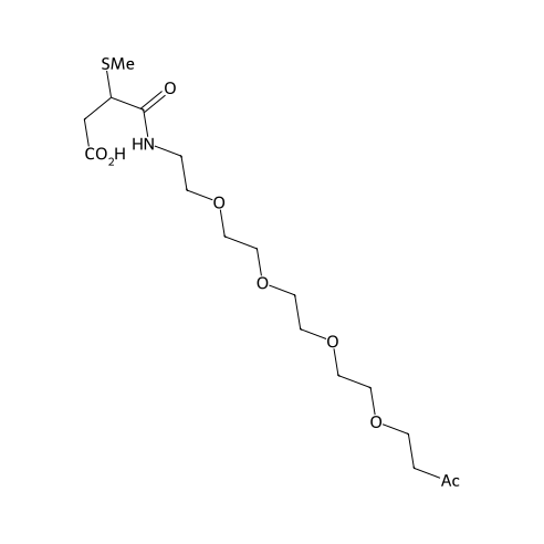 CSC(CC(=O)O)C(=O)NCCOCCOCCOCCOCCC(C)=O